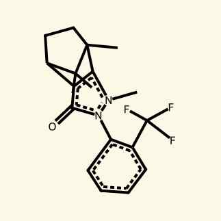 Cn1c2c(c(=O)n1-c1ccccc1C(F)(F)F)C1CCC2(C)C1(C)C